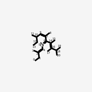 CC/C(C)=C/N=C(C(/C)=C\C(C)CC)\C(C)=C(/C)C(C)C